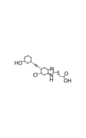 O=C(O)CSc1nc2cc(C#Cc3cccc(O)c3)c(Cl)cc2[nH]1